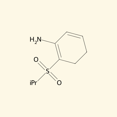 CC(C)S(=O)(=O)C1=C(N)C=CCC1